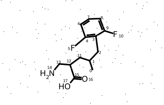 CC(Cc1c(F)cccc1F)CC(CN)C(=O)O